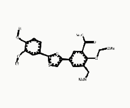 CCOc1ccc(-c2nc(-c3cc(CNC)c(OCOC)c(C(=O)OC)c3)cs2)cc1OCC